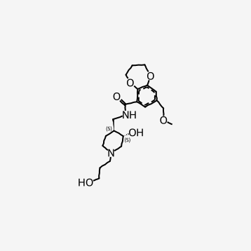 COCc1cc2c(c(C(=O)NC[C@@H]3CCN(CCCO)C[C@H]3O)c1)OCCCO2